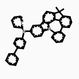 CC1(C)c2cccc3c2-c2c1ccc1c4cc(N(c5ccccc5)c5ccc(-c6ccccc6)cc5)ccc4n(c21)-c1ccccc1-3